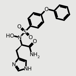 NC(=O)[C@@H](Cc1c[nH]cn1)N(O)S(=O)(=O)c1ccc(Oc2ccccc2)cc1